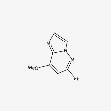 CCc1cc(OC)c2nccn2n1